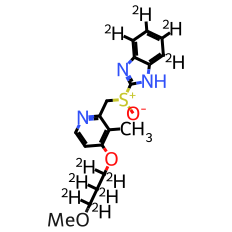 [2H]c1c([2H])c([2H])c2[nH]c([S+]([O-])Cc3nccc(OC([2H])([2H])C([2H])([2H])C([2H])([2H])OC)c3C)nc2c1[2H]